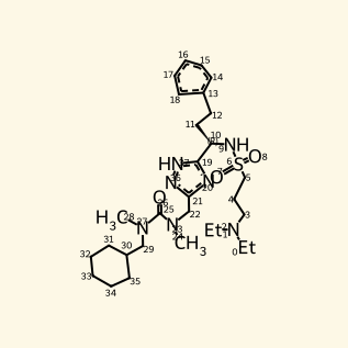 CCN(CC)CCCS(=O)(=O)N[C@H](CCc1ccccc1)c1nc(CN(C)C(=O)N(C)CC2CCCCC2)n[nH]1